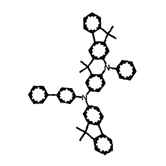 CC1(C)c2ccccc2-c2ccc(N(c3ccc(-c4ccccc4)cc3)c3ccc4c(c3)C(C)(C)c3cc5c(cc3N4c3ccccc3)C(C)(C)c3ccccc3-5)cc21